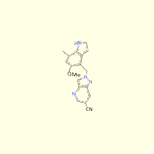 COc1cc(C)c2[nH]ccc2c1Cn1cc2ncc(C#N)cc2n1